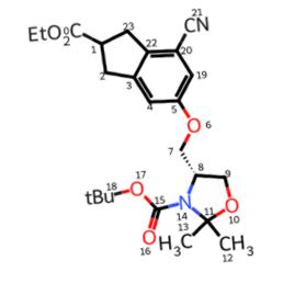 CCOC(=O)C1Cc2cc(OC[C@@H]3COC(C)(C)N3C(=O)OC(C)(C)C)cc(C#N)c2C1